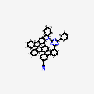 N#Cc1cccc(-c2cccc(-c3nc(-c4ccccc4)nc(-n4c5ccccc5c5cc6c(cc54)C4(c5ccccc5-c5ccccc54)c4ccccc4-6)n3)c2)c1